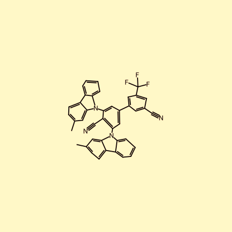 Cc1ccc2c3ccccc3n(-c3cc(-c4cc(C#N)cc(C(F)(F)F)c4)cc(-n4c5ccccc5c5ccc(C)cc54)c3C#N)c2c1